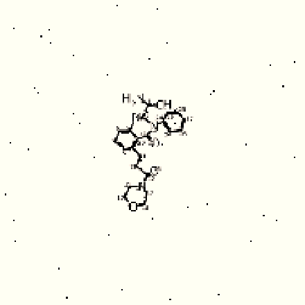 CC(N)c1nc2cccc(CCC(=O)N3CCOCC3)c2c(=O)n1-c1ccccc1